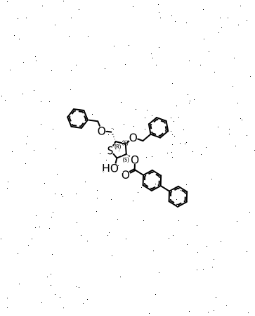 O=C(O[C@@H]1C(O)S[C@H](COCc2ccccc2)[C@H]1OCc1ccccc1)c1ccc(-c2ccccc2)cc1